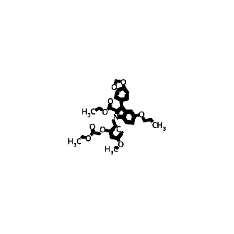 CCCOc1ccc2c(c1)c(-c1ccc3c(c1)OCO3)c(C(=O)OCC)n2Cc1ccc(OC)cc1OCC(=O)OCC